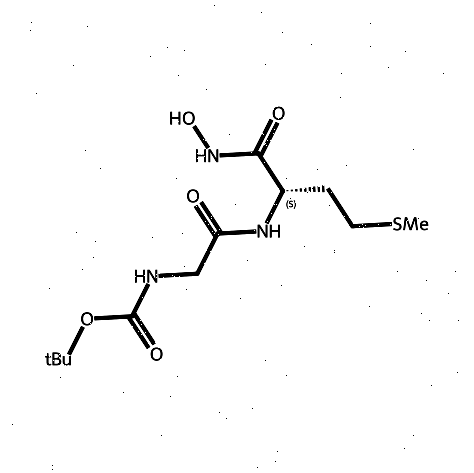 CSCC[C@H](NC(=O)CNC(=O)OC(C)(C)C)C(=O)NO